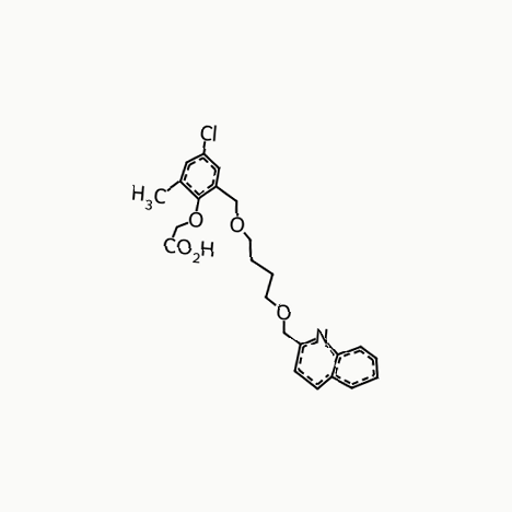 Cc1cc(Cl)cc(COCCCCOCc2ccc3ccccc3n2)c1OCC(=O)O